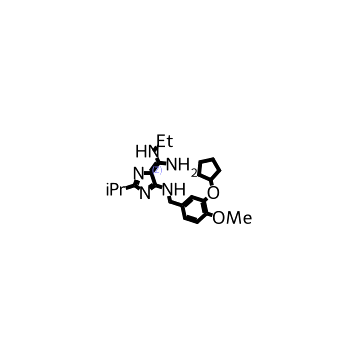 CCN/C(N)=C1\N=C(C(C)C)N=C1NCc1ccc(OC)c(OC2CCCC2)c1